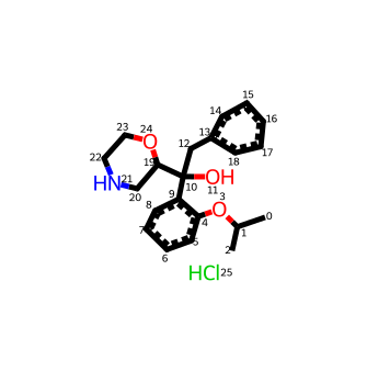 CC(C)Oc1ccccc1C(O)(Cc1ccccc1)C1CNCCO1.Cl